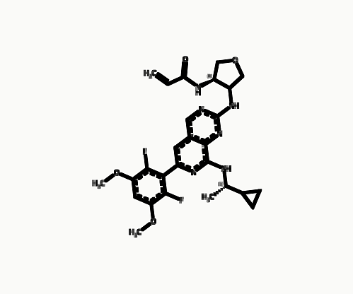 C=CC(=O)N[C@H]1COCC1Nc1ncc2cc(-c3c(F)c(OC)cc(OC)c3F)nc(N[C@@H](C)C3CC3)c2n1